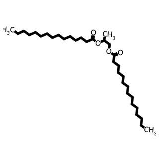 CCCCCCCCCCCCCCC(=O)OCC(C)OC(=O)CCCCCCCCCCCCCC